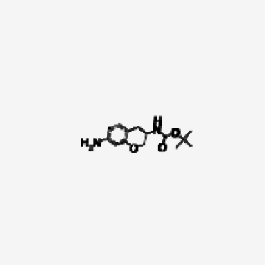 CC(C)(C)OC(=O)NC1COc2cc(N)ccc2C1